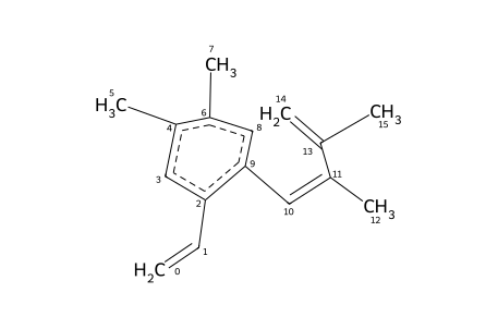 C=Cc1cc(C)c(C)cc1/C=C(/C)C(=C)C